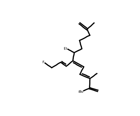 C=C(C)CCCC(CC)/C(C=CCF)=C/C=C(\C)C(=C)C(C)CC